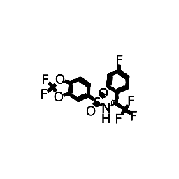 O=S(=O)(N[C@H](c1ccc(F)cc1)C(F)(F)F)c1ccc2c(c1)OC(F)(F)O2